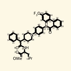 COC(=O)C(CC(C)C)NC(=O)C(c1ccccc1)C1CCN(c2ccc(NC(=O)c3ccccc3-c3ccc(C(F)(F)F)cc3)cc2)CC1